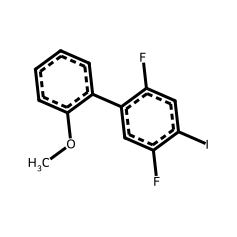 COc1ccccc1-c1cc(F)c(I)cc1F